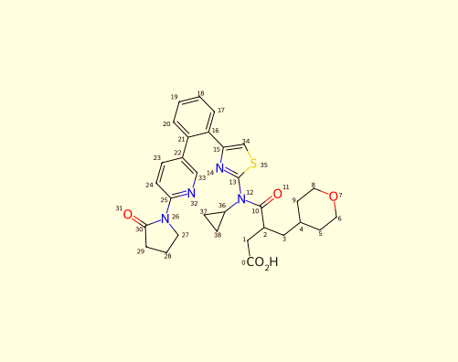 O=C(O)CC(CC1CCOCC1)C(=O)N(c1nc(-c2ccccc2-c2ccc(N3CCCC3=O)nc2)cs1)C1CC1